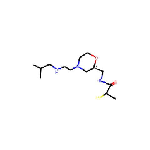 CC(C)CNCCN1CCO[C@@H](CNC(=O)C(C)S)C1